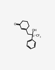 O=C1C=C(C[C@@](O)(c2ccccc2)C(F)(F)F)CCC1